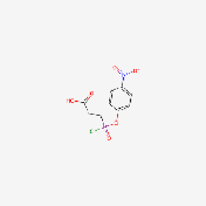 O=C(O)CCP(=O)(Cl)Oc1ccc([N+](=O)[O-])cc1